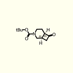 CC(C)(C)OC(=O)N1CC[C@H]2C(=O)C[C@H]2C1